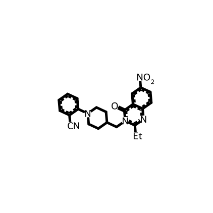 CCc1nc2ccc([N+](=O)[O-])cc2c(=O)n1CC1CCN(c2ccccc2C#N)CC1